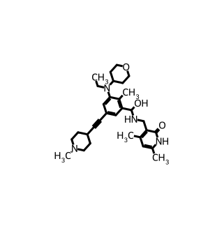 CCN(c1cc(C#CC2CCN(C)CC2)cc(C(O)NCc2c(C)cc(C)[nH]c2=O)c1C)C1CCOCC1